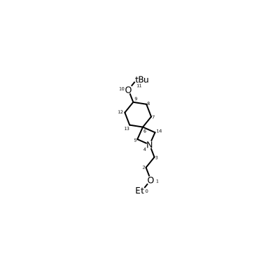 CCOCCN1CC2(CCC(OC(C)(C)C)CC2)C1